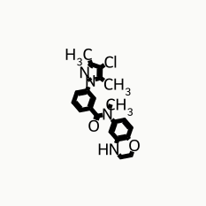 Cc1nn(-c2cccc(C(=O)N(C)c3ccc4c(c3)NCCO4)c2)c(C)c1Cl